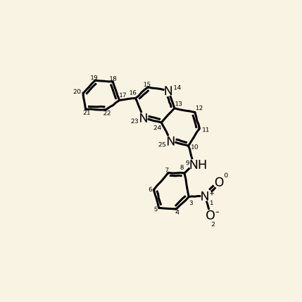 O=[N+]([O-])c1ccccc1Nc1ccc2ncc(-c3ccccc3)nc2n1